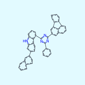 c1ccc(-c2nc(-c3cc4c5c(cccc5c3)-c3ccccc3-4)nc(-c3cccc4[nH]c5cc(-c6ccc7ccccc7c6)ccc5c34)n2)cc1